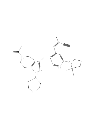 C#C/C(C)=C\c1cc(N2CCCC2(C)C)ncc1Cc1nn(C2CCOCC2)c2c1CN(C(C)=O)CC2